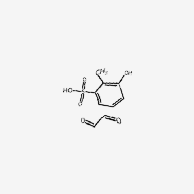 Cc1c(O)cccc1S(=O)(=O)O.O=CC=O